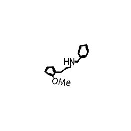 COc1ccccc1CCCNCc1ccccc1